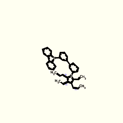 C=C/C=c1\c(=C/C)c(/C=C\C)c(C=C)n1-c1cccc(-c2cccc(-n3c4ccccc4c4ccccc43)c2)c1